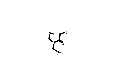 O=C(CBr)N(C[N+](=O)[O-])C[N+](=O)[O-]